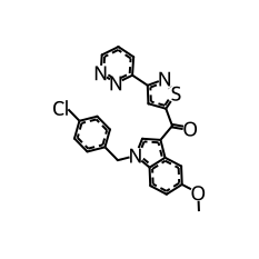 COc1ccc2c(c1)c(C(=O)c1cc(-c3cccnn3)ns1)cn2Cc1ccc(Cl)cc1